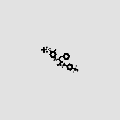 Cc1cc([Se]C(Cc2ccccc2)c2sc(-c3ccc(C(F)(F)F)cc3)nc2C)ccc1O[Si](C)(C)C(C)(C)C